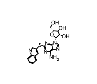 Nc1nc(Sc2cnc3ccccc3c2)nc2c1ncn2[C@@H]1O[C@H](CO)[C@@H](O)[C@H]1O